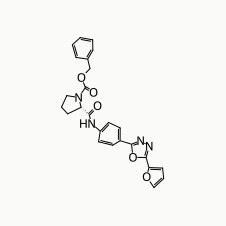 O=C(Nc1ccc(-c2nnc(-c3ccco3)o2)cc1)[C@@H]1CCCN1C(=O)OCc1ccccc1